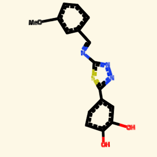 COc1cccc(C=Nc2nnc(-c3ccc(O)c(O)c3)s2)c1